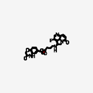 O=C1COc2ccc(N3CC4(CCCNC5Cn6c(=O)ccc7ncc(F)c5c76)OC3O4)cc2N1